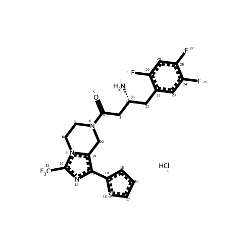 Cl.N[C@@H](CC(=O)N1CCn2c(C(F)(F)F)nc(-c3cccs3)c2C1)Cc1cc(F)c(F)cc1F